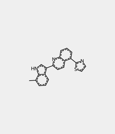 Cc1cccc2c(-c3ccc4c(-c5nccs5)cccc4n3)c[nH]c12